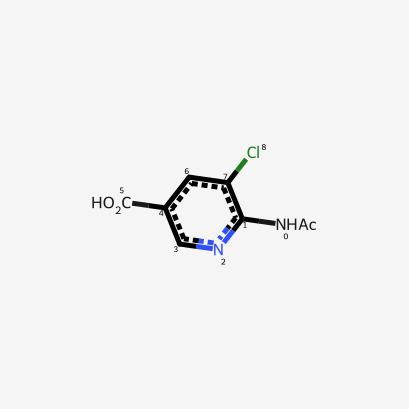 CC(=O)Nc1ncc(C(=O)O)cc1Cl